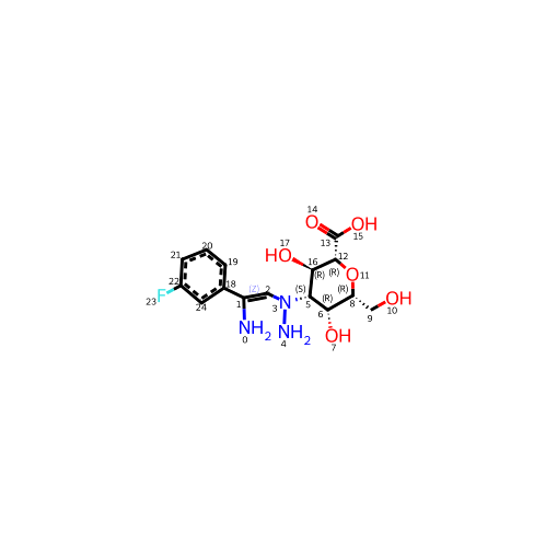 N/C(=C\N(N)[C@H]1[C@@H](O)[C@@H](CO)O[C@@H](C(=O)O)[C@@H]1O)c1cccc(F)c1